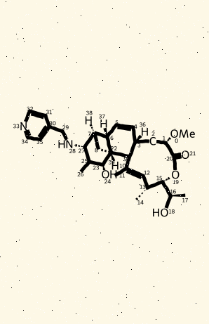 CO[C@H]1C[C@H]2C=C[C@H]3[C@H]4C[C@]2(/C(C)=C/[C@@H](C)[C@@H]([C@@H](C)O)OC1=O)[C@@H]3[C@H](O)C(C)[C@@H]4NCc1ccncc1